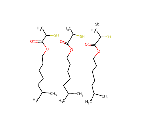 CC(C)CCCCCOC(=O)C(C)S.CC(C)CCCCCOC(=O)C(C)S.CC(C)CCCCCOC(=O)C(C)S.[Sb]